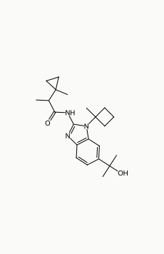 CC(C(=O)Nc1nc2ccc(C(C)(C)O)cc2n1C1(C)CCC1)C1(C)CC1